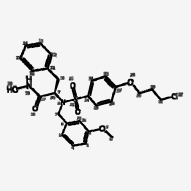 COc1cccc(CN([C@H](Cc2ccccc2)C(=O)NO)S(=O)(=O)c2ccc(OCCCCl)cc2)c1